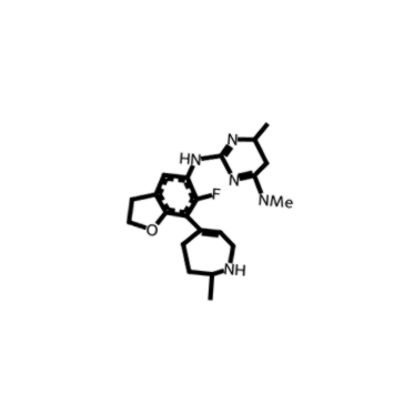 CNC1=NC(Nc2cc3c(c(C4=CCNC(C)CC4)c2F)OCC3)=NC(C)C1